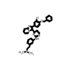 CN(C)CCc1cccc(Nc2nccc(-c3c(-c4ccc(OCc5ccccc5)c(Cl)c4)nc4ccccn34)n2)c1